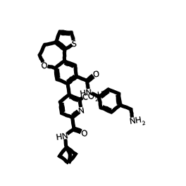 NCc1ccc(NC(=O)c2cc3c(cc2-c2ccc(C(=O)NC45CC(C4)C5)nc2C(=O)O)OCCc2ccsc2-3)cc1